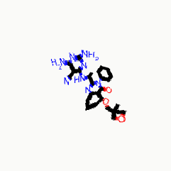 CC(Nc1nc(N)nc(N)c1C#N)c1nc2cccc(OCC3(C)COC3)c2c(=O)n1-c1ccccc1